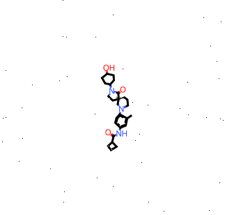 Cc1cc(NC(=O)C2CCC2)ccc1N1CCC[C@]2(CCN(C3CCC(O)CC3)C2=O)C1